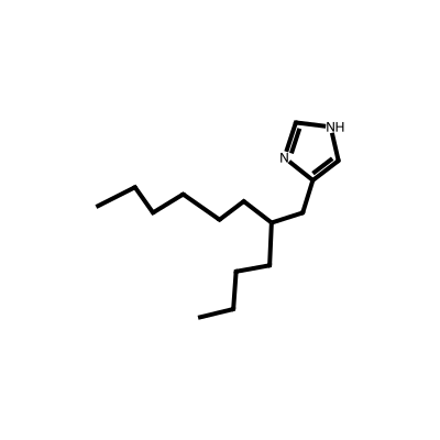 CCCCCCC(CCCC)Cc1c[nH]cn1